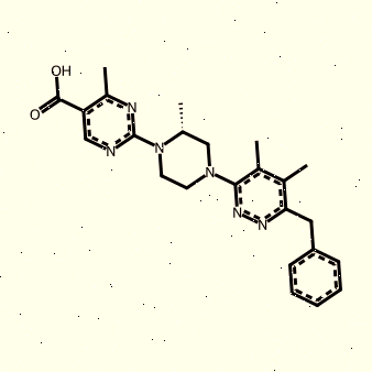 Cc1nc(N2CCN(c3nnc(Cc4ccccc4)c(C)c3C)C[C@H]2C)ncc1C(=O)O